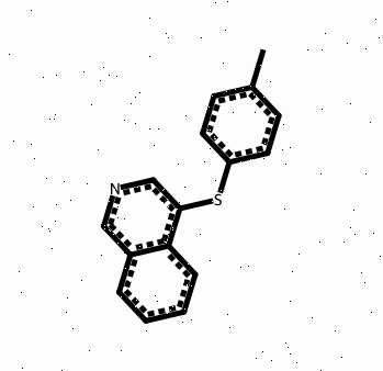 Cc1ccc(Sc2cncc3ccccc23)cc1